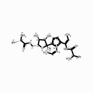 C/C=C(/NC(=O)C(N)C(C)C)c1ccc([C@]2(C#N)O[C@H](COC(=O)[C@@H](N)C(C)C)[C@@H](O)[C@H]2O)n1/N=C\N